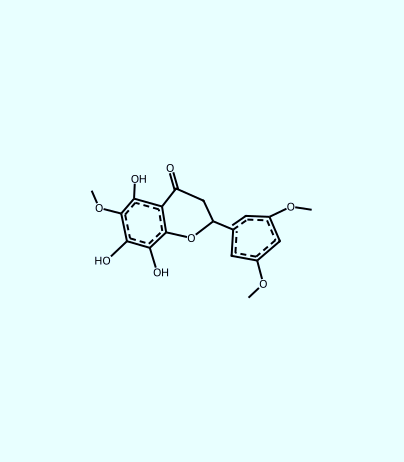 COc1cc(OC)cc(C2CC(=O)c3c(O)c(OC)c(O)c(O)c3O2)c1